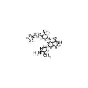 Cc1cc(Nc2nc(-c3cnc(N)c(C)c3)cc3cc[nH]c(=O)c23)ccc1OCCN1CCCC1